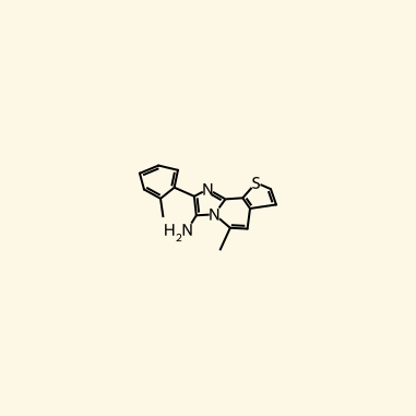 Cc1ccccc1-c1nc2c3sccc3cc(C)n2c1N